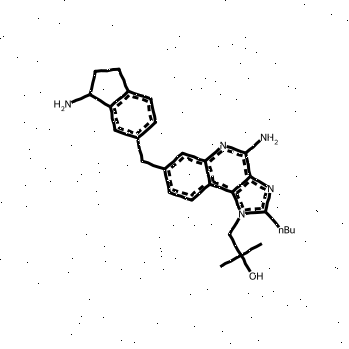 CCCCc1nc2c(N)nc3cc(Cc4ccc5c(c4)C(N)CC5)ccc3c2n1CC(C)(C)O